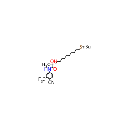 CCCCSCCCCCCCCCCCC(C)(O)C(=O)Nc1ccc(C#N)c(C(F)(F)F)c1